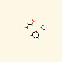 Fc1cc(F)cc(OC2CNC2)c1.O=C(O)C(O)C(O)C(=O)O